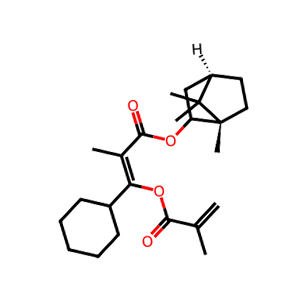 C=C(C)C(=O)OC(=C(C)C(=O)OC1C[C@H]2CC[C@@]1(C)C2(C)C)C1CCCCC1